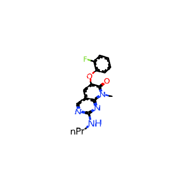 CCCNc1ncc2cc(Oc3ccccc3F)c(=O)n(C)c2n1